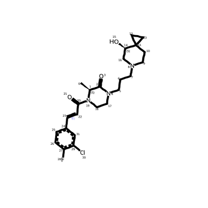 C[C@H]1C(=O)N(CCCN2CCC3(CC3)[C@H](O)C2)CCN1C(=O)/C=C/c1ccc(F)c(Cl)c1